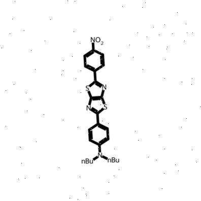 CCCCN(CCCC)c1ccc(-c2nc3sc(-c4ccc([N+](=O)[O-])cc4)nc3s2)cc1